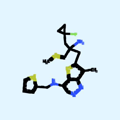 C=S=CC(N)(Cc1sc2c(NCc3cccs3)cnnc2c1C)CC1(F)CC1